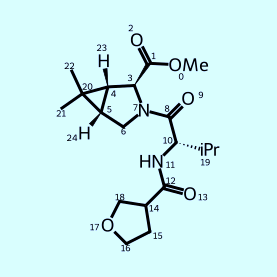 COC(=O)[C@@H]1[C@@H]2[C@H](CN1C(=O)[C@@H](NC(=O)C1CCOC1)C(C)C)C2(C)C